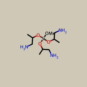 CO[Si](OC(C)CN)(OC(C)CN)OC(C)CN